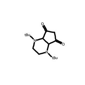 CC(C)(C)N1CCN(C(C)(C)C)C2C(=O)CC(=O)C21